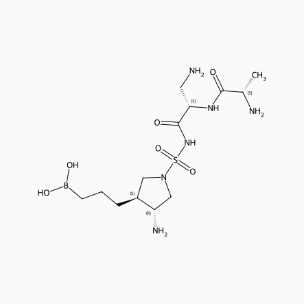 C[C@H](N)C(=O)N[C@@H](CN)C(=O)NS(=O)(=O)N1C[C@H](CCCB(O)O)[C@@H](N)C1